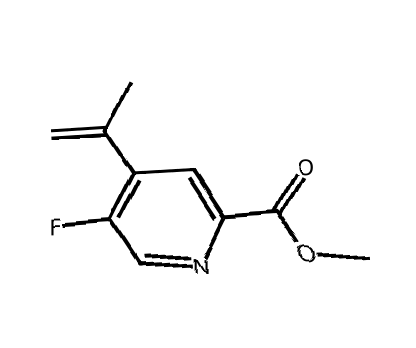 C=C(C)c1cc(C(=O)OC)ncc1F